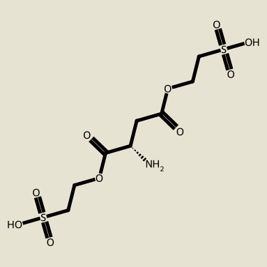 N[C@@H](CC(=O)OCCS(=O)(=O)O)C(=O)OCCS(=O)(=O)O